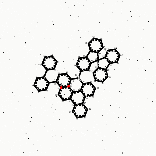 c1ccc(-c2ccccc2-c2ccc(N(c3ccc4c(c3)C3(c5ccccc5-c5ccccc53)c3ccccc3-4)c3cccc4c5ccccc5c5ccccc5c34)cc2)cc1